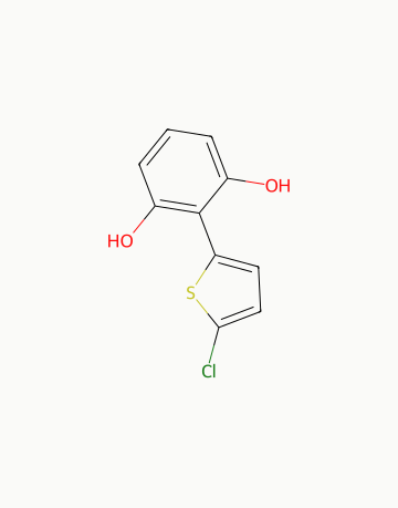 Oc1cccc(O)c1-c1ccc(Cl)s1